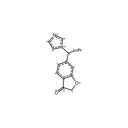 CCCC(c1ccc2c(c1)OCC2=O)n1ccnc1